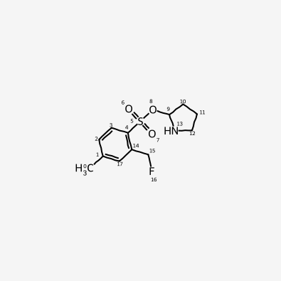 Cc1ccc(S(=O)(=O)OC2CCCN2)c(CF)c1